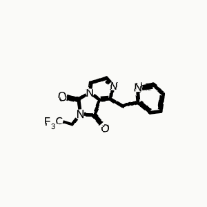 O=C1C2=C(Cc3ccccn3)N=CCN2C(=O)N1CC(F)(F)F